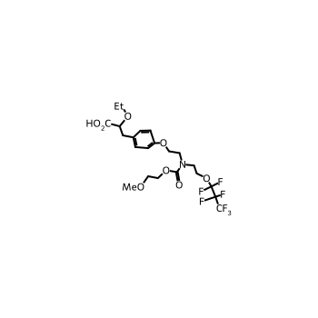 CCOC(Cc1ccc(OCCN(CCOC(F)(F)C(F)(F)C(F)(F)F)C(=O)OCCOC)cc1)C(=O)O